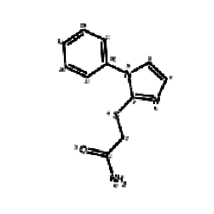 NC(=O)CSc1nccn1-c1ccccc1